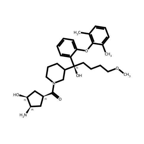 COCCCC[C@@](O)(c1ccccc1Oc1c(C)cccc1C)C1CCCN(C(=O)[C@H]2C[C@@H](N)[C@@H](O)C2)C1